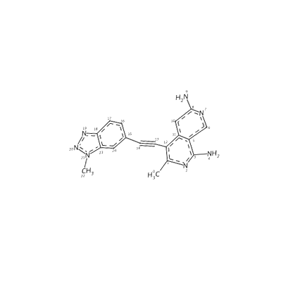 Cc1nc(N)c2cnc(N)cc2c1C#Cc1ccc2nnn(C)c2c1